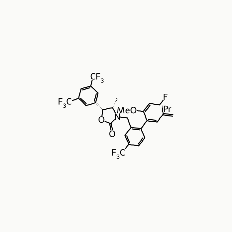 C=C(/C=C(\C(=C/CF)OC)c1ccc(C(F)(F)F)cc1CN1C(=O)O[C@H](c2cc(C(F)(F)F)cc(C(F)(F)F)c2)[C@@H]1C)C(C)C